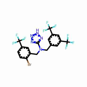 FC(F)(F)c1cc(CN(Cc2cc(C(F)(F)F)ccc2Br)c2nn[nH]n2)cc(C(F)(F)F)c1